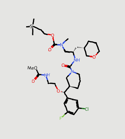 COC(=O)NCCO[C@@H](c1cc(F)cc(Cl)c1)[C@@H]1CCCN(C(=O)N[C@@H](C[C@@H]2CCCOC2)CN(C)C(=O)OCC[Si](C)(C)C)C1